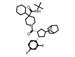 CC(C)(C)NC(=O)C1(C2CCCCC2)CCN(C(=O)[C@@H]2CC(N3C4CCC3CC4)C[C@@H]2c2ccc(F)cc2F)CC1